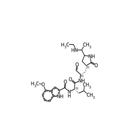 CCNC(C)C1C[C@@H](C[C@@H](C=O)NC(=O)[C@H](CC(C)C)NC(=O)c2cc3c(OC)cccc3[nH]2)C(=O)N1